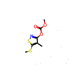 COC(=O)Oc1nsc(SC)c1C